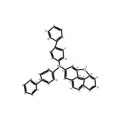 c1ccc(-c2ccc(N(c3ccc(-c4ccccc4)cc3)c3cc4ccc5cccc6oc(c3)c4c56)cc2)cc1